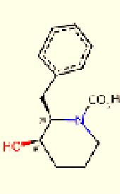 O=C(O)N1CCC[C@@H](O)[C@H]1Cc1ccccc1